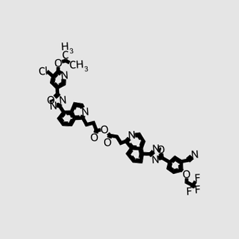 CC(C)Oc1ncc(-c2nc(-c3cccc4c(CCC(=O)OC(=O)CCc5nccc6c(-c7noc(-c8ccc(OCC(F)(F)F)c(C#N)c8)n7)cccc56)nccc34)no2)cc1Cl